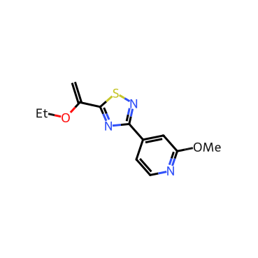 C=C(OCC)c1nc(-c2ccnc(OC)c2)ns1